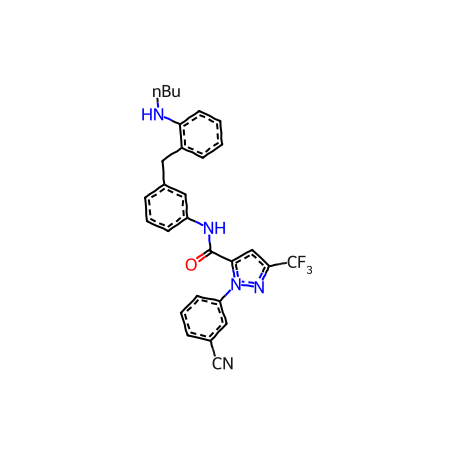 CCCCNc1ccccc1Cc1cccc(NC(=O)c2cc(C(F)(F)F)nn2-c2cccc(C#N)c2)c1